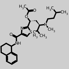 CC(=O)O[C@H](C[C@H](C(C)C)N(C)CCC(C)C)c1nc(C(=O)NC2CCCc3ccccc32)cs1